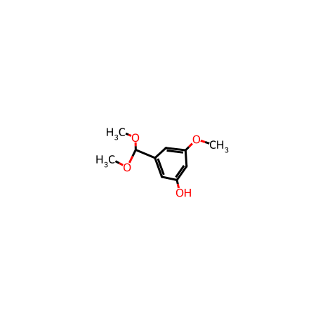 COc1cc(O)cc(C(OC)OC)c1